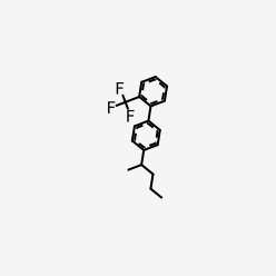 CCCC(C)c1ccc(-c2ccccc2C(F)(F)F)cc1